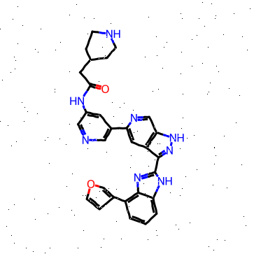 O=C(CC1CCNCC1)Nc1cncc(-c2cc3c(-c4nc5c(-c6ccoc6)cccc5[nH]4)n[nH]c3cn2)c1